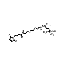 COC(C)(C)CCN(C)ONCCOCCOCCNC(=O)CCCN1C(=O)C=CC1=O